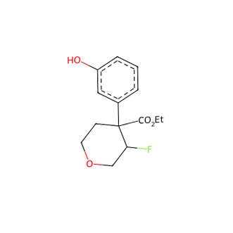 CCOC(=O)C1(c2cccc(O)c2)CCOCC1F